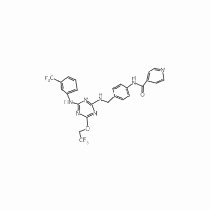 O=C(Nc1ccc(CNc2nc(Nc3cccc(C(F)(F)F)c3)nc(OCC(F)(F)F)n2)cc1)c1ccncc1